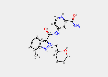 NC(=O)c1cc(NC(=O)c2c3cccc(C(F)(F)F)c3nn2CC2CCCCO2)ccn1